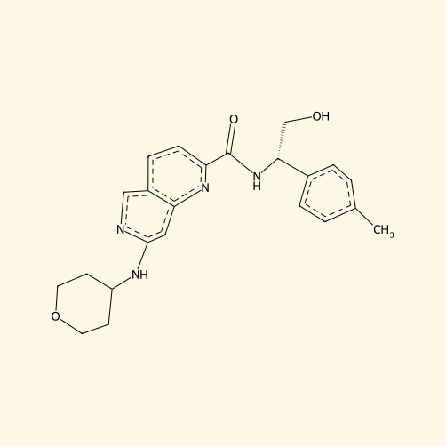 Cc1ccc([C@@H](CO)NC(=O)c2ccc3cnc(NC4CCOCC4)cc3n2)cc1